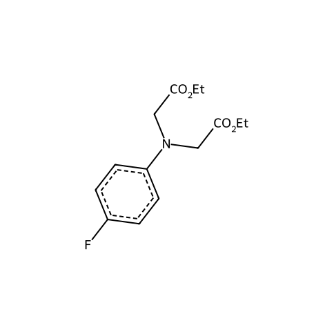 CCOC(=O)CN(CC(=O)OCC)c1ccc(F)cc1